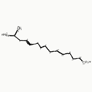 CCCCCCC(O)CC=CCCCCCCCCCC(=O)O